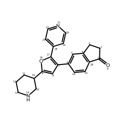 O=C1CCc2cc(-c3cc(C4CCCNC4)oc3-c3ccncc3)ccc21